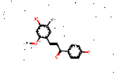 CCCOc1cc(O)c(CCC)cc1C=CC(=O)c1ccc(O)cc1